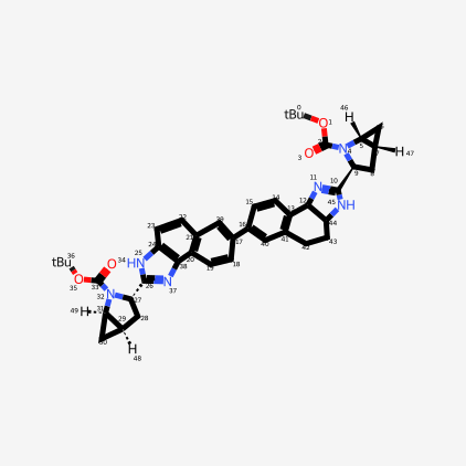 CC(C)(C)OC(=O)N1[C@@H]2C[C@@H]2C[C@H]1C1=NC2c3ccc(-c4ccc5c(ccc6[nH]c([C@@H]7C[C@H]8C[C@H]8N7C(=O)OC(C)(C)C)nc65)c4)cc3CCC2N1